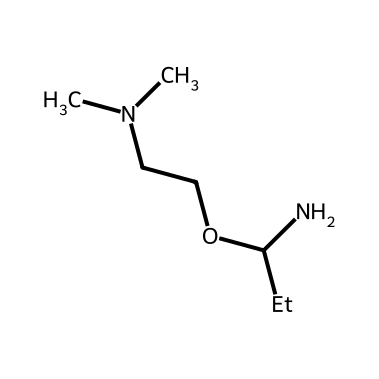 CCC(N)OCCN(C)C